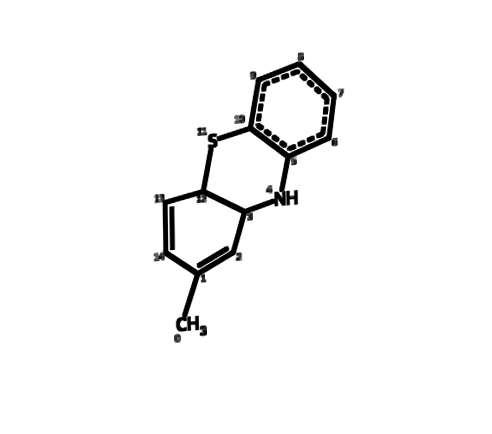 CC1=CC2Nc3ccccc3SC2C=C1